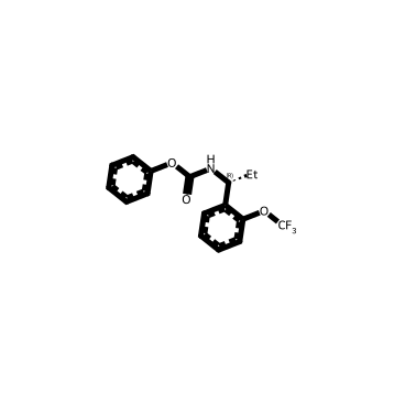 CC[C@@H](NC(=O)Oc1ccccc1)c1ccccc1OC(F)(F)F